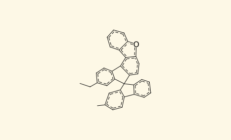 CCc1ccc2c(c1)C1(c3ccccc3-c3ccc(C)cc31)c1ccc3oc4ccccc4c3c1-2